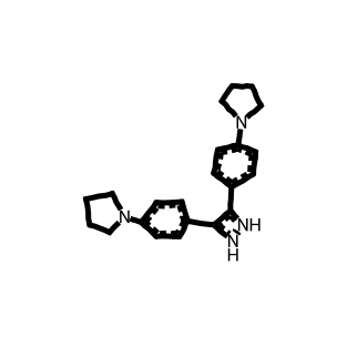 c1cc(N2CCCC2)ccc1-c1[nH][nH]c1-c1ccc(N2CCCC2)cc1